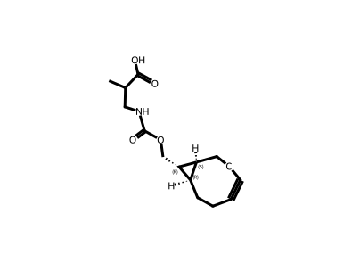 CC(CNC(=O)OC[C@H]1[C@@H]2CCC#CCC[C@@H]21)C(=O)O